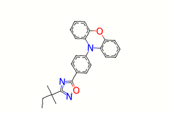 CCC(C)(C)c1noc(-c2ccc(N3c4ccccc4Oc4ccccc43)cc2)n1